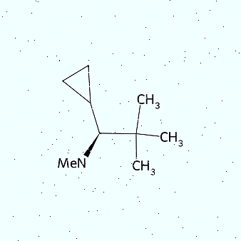 CN[C@@H](C1CC1)C(C)(C)C